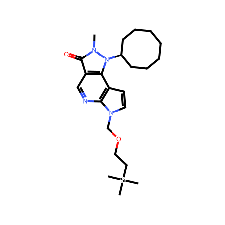 Cn1c(=O)c2cnc3c(ccn3COCC[Si](C)(C)C)c2n1C1CCCCCCC1